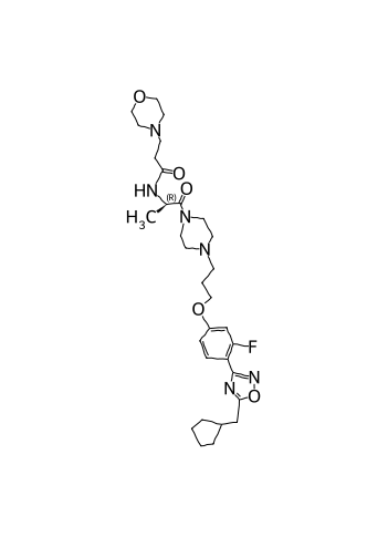 C[C@@H](NC(=O)CCN1CCOCC1)C(=O)N1CCN(CCCOc2ccc(-c3noc(CC4CCCC4)n3)c(F)c2)CC1